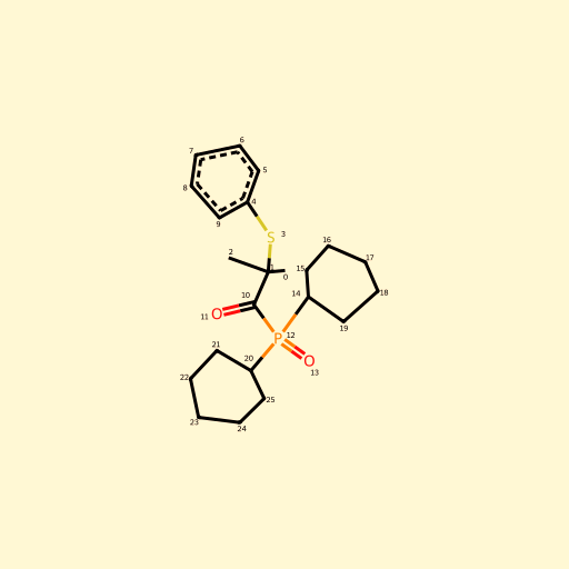 CC(C)(Sc1ccccc1)C(=O)P(=O)(C1CCCCC1)C1CCCCC1